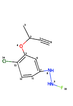 C#CC(C)Oc1cc(NNF)ccc1Cl